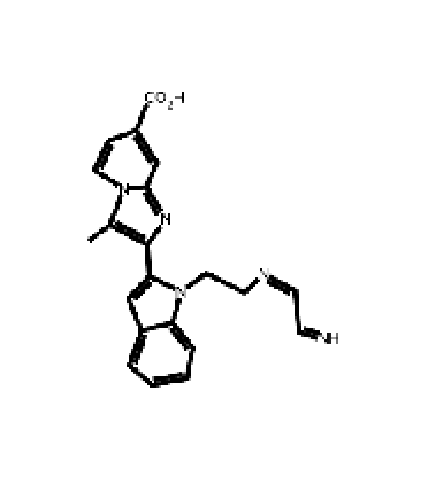 Cc1c(-c2cc3ccccc3n2CC/N=C\C=N)nc2cc(C(=O)O)ccn12